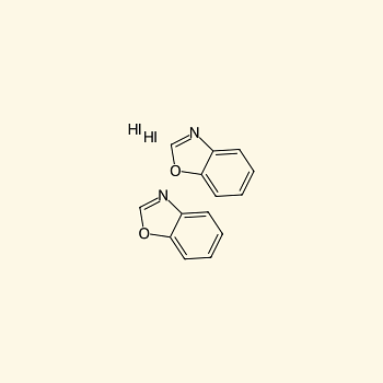 I.I.c1ccc2ocnc2c1.c1ccc2ocnc2c1